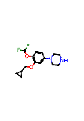 FC(F)Oc1ccc(N2CCNCC2)cc1OCC1CC1